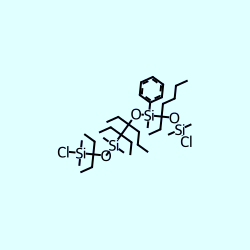 CCCCC(CC)(O[Si](C)(C)Cl)[Si](C)(OC(CC)(CCC)C(CC)(CC)[Si](C)(C)OC(CC)(CC)[Si](C)(C)Cl)c1ccccc1